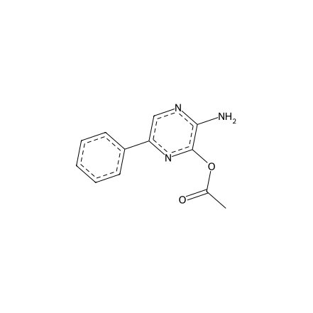 CC(=O)Oc1nc(-c2ccccc2)cnc1N